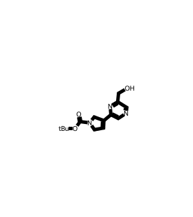 CC(C)(C)OC(=O)N1CC=C(c2cncc(CO)n2)C1